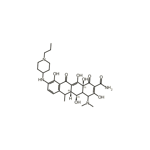 CCCN1CCC(Nc2ccc3c(c2O)C(=O)C2=C(O)[C@]4(O)C(=O)C(C(N)=O)=C(O)C(N(C)C)C4[C@@H](O)[C@@H]2C3C)CC1